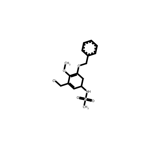 COC1=C(OCc2ccccc2)[CH]C(NS(C)(=O)=O)C=C1CCl